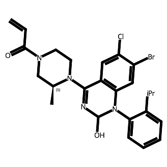 C=CC(=O)N1CCN(C2=NC(O)N(c3ccccc3C(C)C)c3cc(Br)c(Cl)cc32)[C@@H](C)C1